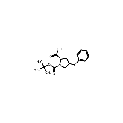 CC(C)(C)OC(=O)N1CC(Oc2ccccc2)C[C@@H]1C(=O)O